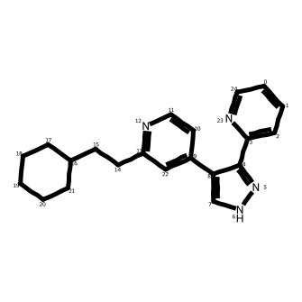 c1ccc(-c2n[nH]cc2-c2ccnc(CCC3CCCCC3)c2)nc1